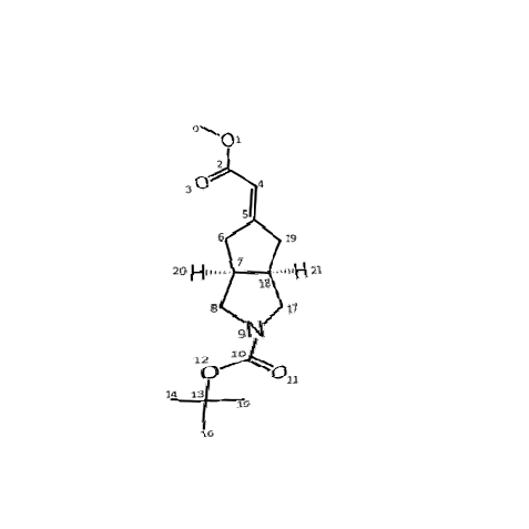 COC(=O)/C=C1\C[C@@H]2CN(C(=O)OC(C)(C)C)C[C@@H]2C1